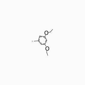 [CH2]c1cc(OCC)cc(OCC)c1